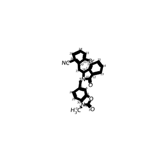 Cn1c(=O)oc2cc(CN3C(=O)c4ccccc4C3Cc3c(Br)cccc3C#N)ccc21